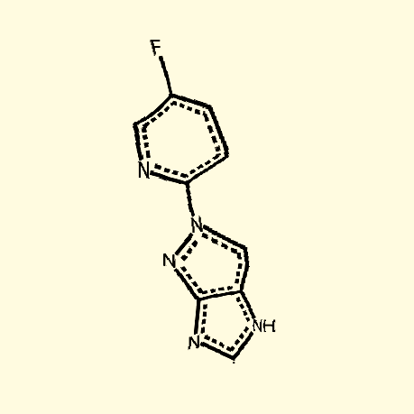 Fc1ccc(-n2cc3[nH][c]nc3n2)nc1